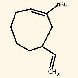 C=CC1CCCCC=C(CCCC)C1